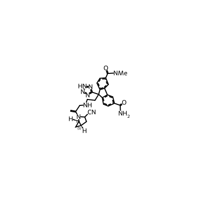 C=C(CNCCC1(c2nn[nH]n2)c2ccc(C(N)=O)cc2-c2cc(C(=O)NC)ccc21)N1C(C#N)C[C@@H]2C[C@@H]21